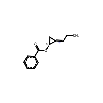 CC/C=C1\C[C@@H]1OC(=O)c1ccccc1